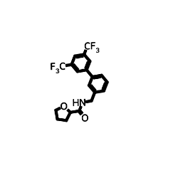 O=C(NCc1cccc(-c2cc(C(F)(F)F)cc(C(F)(F)F)c2)c1)C1CCCO1